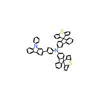 c1ccc(-n2c3ccccc3c3ccc(-c4ccc(N(c5ccc6c(c5)-c5ccccc5C65c6ccccc6Sc6ccccc65)c5ccc6c(c5)-c5ccccc5C65c6ccccc6Sc6ccccc65)cc4)cc32)cc1